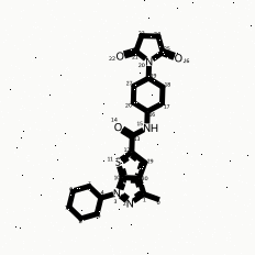 Cc1nn(C2CCCCC2)c2sc(C(=O)NC3CCC(N4C(=O)CCC4=O)CC3)cc12